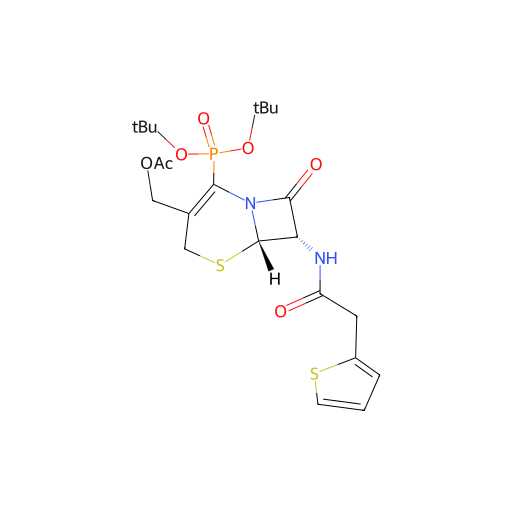 CC(=O)OCC1=C(P(=O)(OC(C)(C)C)OC(C)(C)C)N2C(=O)[C@H](NC(=O)Cc3cccs3)[C@@H]2SC1